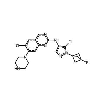 FC12CC(n3ncc(Nc4ncc5cc(Cl)c(N6CCNCC6)cc5n4)c3Cl)(C1)C2